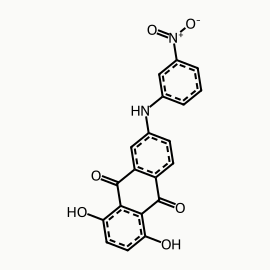 O=C1c2ccc(Nc3cccc([N+](=O)[O-])c3)cc2C(=O)c2c(O)ccc(O)c21